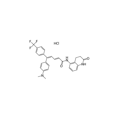 CN(C)c1ccc(/C(=C\C=C\C(=O)Nc2cccc3c2CCC(=O)N3)c2ccc(C(F)(F)F)cc2)cc1.Cl